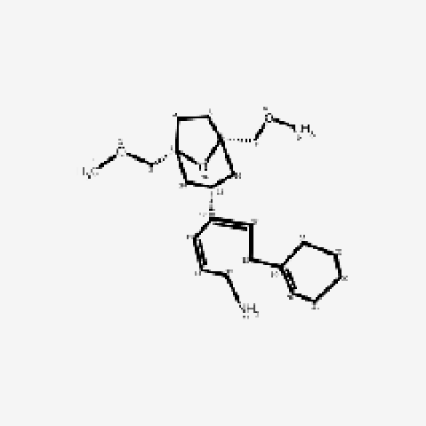 COC[C@@]12CC[C@@](COC)(C[C@H](C(/C=C\CN)=C/CC3=CCCCC3)C1)O2